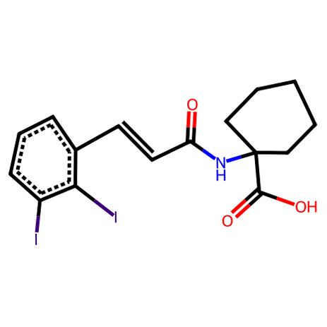 O=C(/C=C/c1cccc(I)c1I)NC1(C(=O)O)CCCCC1